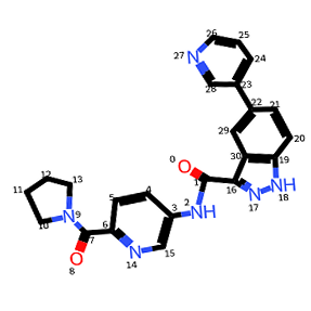 O=C(Nc1ccc(C(=O)N2CCCC2)nc1)c1n[nH]c2ccc(-c3cccnc3)cc12